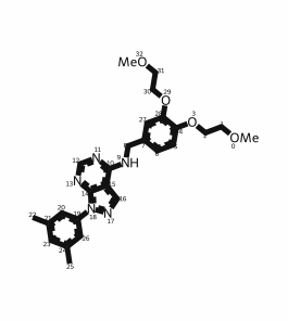 COCCOc1ccc(CNc2ncnc3c2cnn3-c2cc(C)cc(C)c2)cc1OCCOC